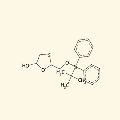 CC(C)(C)[Si](OCC1OC(O)CS1)(c1ccccc1)c1ccccc1